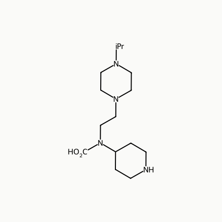 CC(C)N1CCN(CCN(C(=O)O)C2CCNCC2)CC1